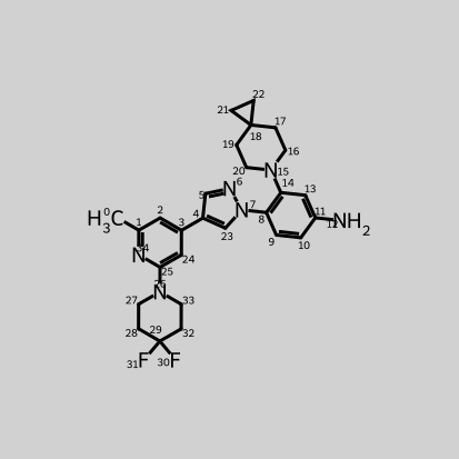 Cc1cc(-c2cnn(-c3ccc(N)cc3N3CCC4(CC3)CC4)c2)cc(N2CCC(F)(F)CC2)n1